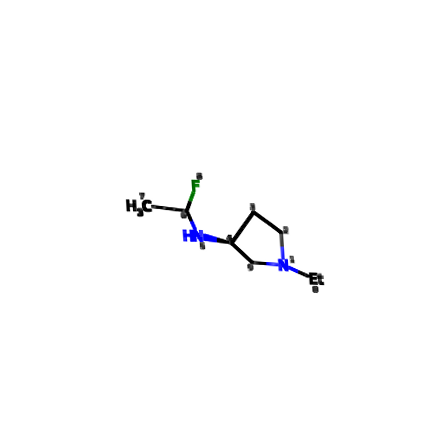 CCN1CC[C@H](NC(C)F)C1